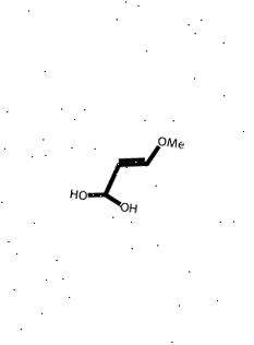 COC=CC(O)O